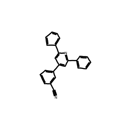 N#Cc1cccc(-c2cc(-c3ccccc3)nc(-c3ccccc3)c2)c1